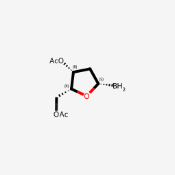 B[C@H]1C[C@@H](OC(C)=O)[C@@H](COC(C)=O)O1